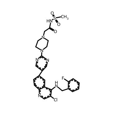 CS(=O)(=O)NC(=O)CN1CCN(c2ncc(-c3ccc4ncc(Cl)c(NCc5ccccc5F)c4c3)cn2)CC1